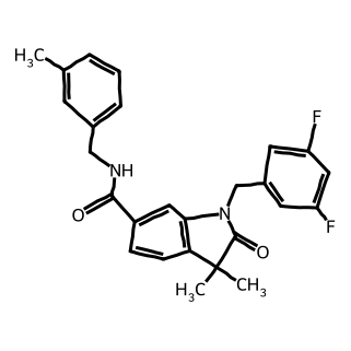 Cc1cccc(CNC(=O)c2ccc3c(c2)N(Cc2cc(F)cc(F)c2)C(=O)C3(C)C)c1